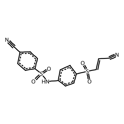 N#CC=CS(=O)(=O)c1ccc(NS(=O)(=O)c2ccc(C#N)cc2)cc1